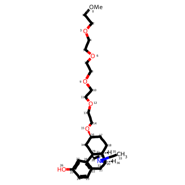 COCCOCCOCCOCCOCCO[C@H]1CC[C@H]2[C@H]3Cc4ccc(O)cc4[C@@]2(CCN3C)C1